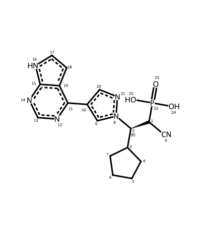 N#CC([C@@H](C1CCCC1)n1cc(-c2ncnc3[nH]ccc23)cn1)P(=O)(O)O